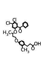 Cc1cc(OCCC(C)Oc2cc(Cl)c(Cl)cc2C(=O)c2ccccc2)ccc1CCC(=O)O